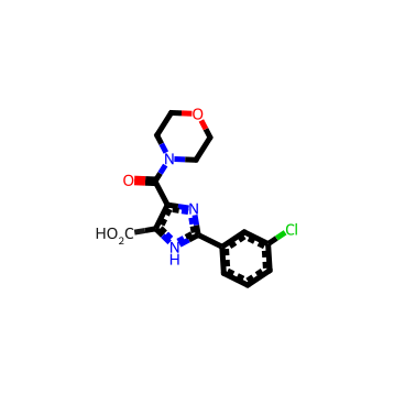 O=C(O)c1[nH]c(-c2cccc(Cl)c2)nc1C(=O)N1CCOCC1